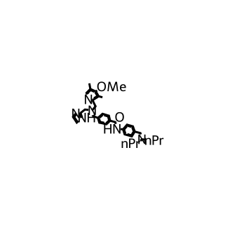 CCCN(CCC)Cc1ccc(NC(=O)c2ccc(CN(Cc3ncc[nH]3)Cc3ncc(C)c(OC)c3C)cc2)cc1